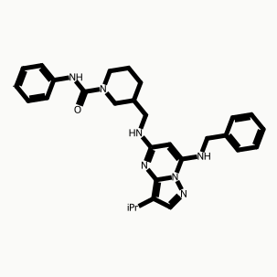 CC(C)c1cnn2c(NCc3ccccc3)cc(NCC3CCCN(C(=O)Nc4cc[c]cc4)C3)nc12